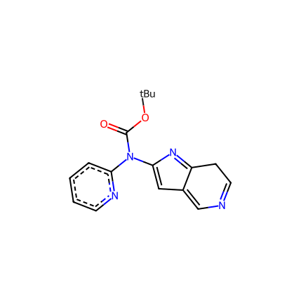 CC(C)(C)OC(=O)N(C1=CC2=CN=CCC2=N1)c1ccccn1